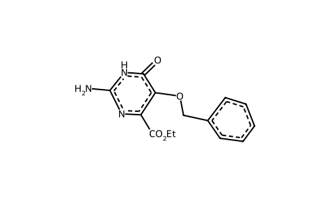 CCOC(=O)c1nc(N)[nH]c(=O)c1OCc1ccccc1